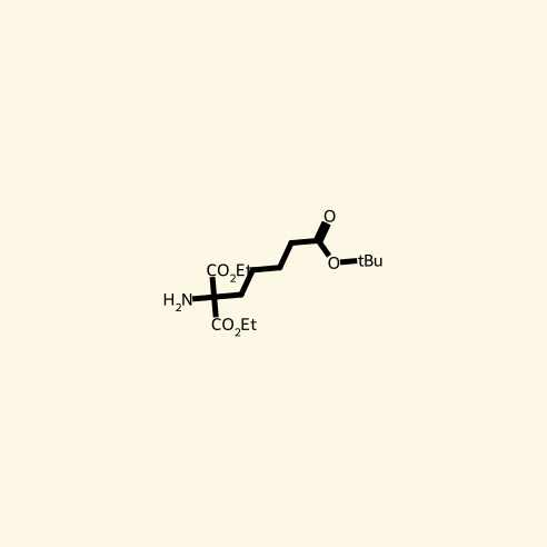 CCOC(=O)C(N)(CCCCC(=O)OC(C)(C)C)C(=O)OCC